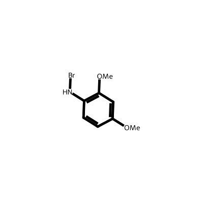 COc1ccc(NBr)c(OC)c1